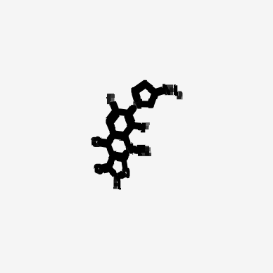 CCn1c2o[nH]c(=O)c2c(=O)c2cc(F)c(N3CCC(N)C3)c(F)c21